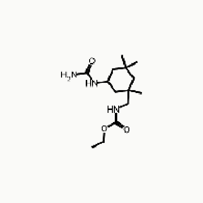 CCOC(=O)NCC1(C)CC(NC(N)=O)CC(C)(C)C1